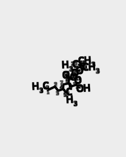 CCCCC(CC)CC(=CC(=O)O)C(=O)OOOC(C)(C)C